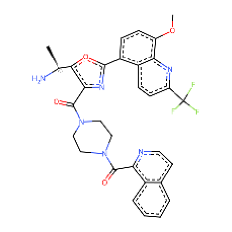 COc1ccc(-c2nc(C(=O)N3CCN(C(=O)c4nccc5ccccc45)CC3)c([C@H](C)N)o2)c2ccc(C(F)(F)F)nc12